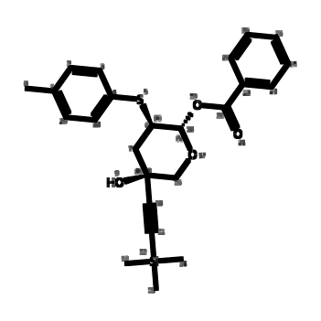 Cc1ccc(S[C@@H]2C[C@@](O)(C#C[Si](C)(C)C)CO[C@H]2OC(=O)c2ccccc2)cc1